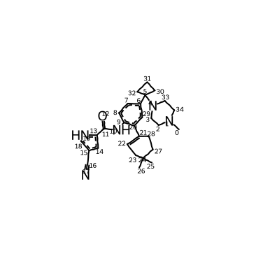 CN1CCN(C2(c3ccc(NC(=O)c4cc(C#N)c[nH]4)c(C4=CCC(C)(C)CC4)c3)CCC2)CC1